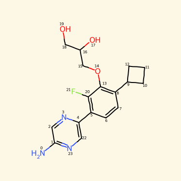 Nc1cnc(-c2ccc(C3CCC3)c(OCC(O)CO)c2F)cn1